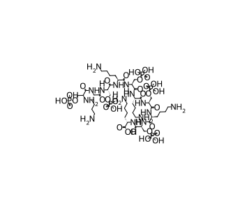 NCCCC[C@H](NC(=O)[C@H](COP(=O)(O)O)NC(=O)[C@H](CCCCN)NC(=O)[C@H](COP(=O)(O)O)NC(=O)[C@H](CCCCN)NC(=O)[C@H](COP(=O)(O)O)NC(=O)[C@H](CCCCN)NC(=O)[C@H](COP(=O)(O)O)NC(=O)[C@H](CCCCN)NC(=O)[C@@H](N)COP(=O)(O)O)C(=O)O